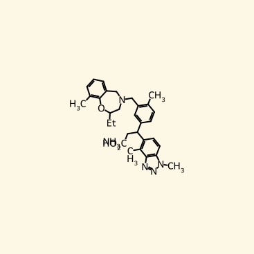 CCC1CN(Cc2cc(C(CC(=O)O)c3ccc4c(nnn4C)c3C)ccc2C)Cc2cccc(C)c2O1.N